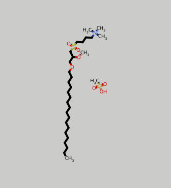 CCCCCCCCCCCCCCCCCCOCC(CS(=O)(=O)CCCC[N+](C)(C)C)OC.CS(=O)(=O)O